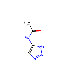 CC(=O)Nc1cnn[nH]1